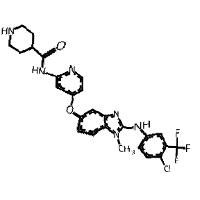 Cn1c(Nc2ccc(Cl)c(C(F)(F)F)c2)nc2cc(Oc3ccnc(NC(=O)C4CCNCC4)c3)ccc21